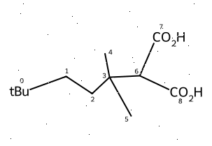 CC(C)(C)CCC(C)(C)C(C(=O)O)C(=O)O